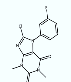 Cn1c(=O)c2c(nc(Cl)n2-c2cccc(F)c2)n(C)c1=O